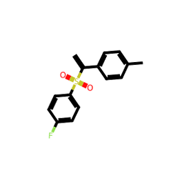 C=C(c1ccc(C)cc1)S(=O)(=O)c1ccc(F)cc1